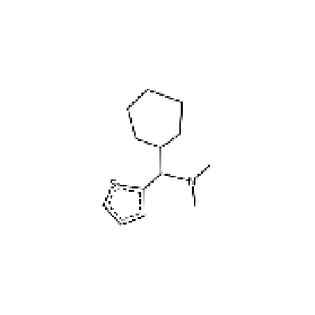 CN(C)C(c1cccs1)C1CCCCC1